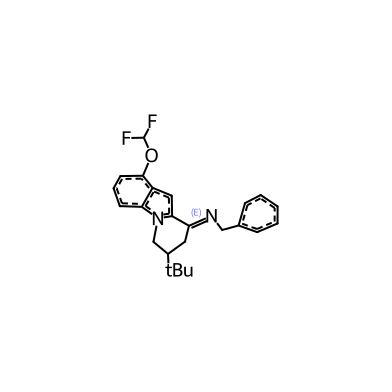 CC(C)(C)C1C/C(=N\Cc2ccccc2)c2cc3c(OC(F)F)cccc3n2C1